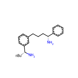 CCCC[C@@H](N)c1cccc(CCC[C@@H](N)c2ccccc2)c1